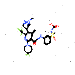 Cc1c(C(=O)Nc2cccc(S(C)(=O)=NC(=O)O)c2)c(N2CCCC(F)(F)CC2)nc(C(F)(F)F)c1-c1cnn(C)c1